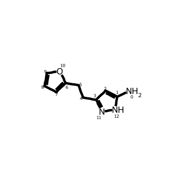 Nc1cc(CCc2ccco2)n[nH]1